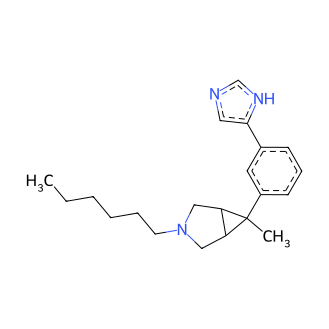 CCCCCCN1CC2C(C1)C2(C)c1cccc(-c2cnc[nH]2)c1